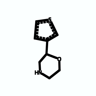 c1cc(C2CNCCO2)cs1